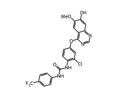 COc1cc2c(Oc3ccc(NC(=O)Nc4ccc(C(F)(F)F)cc4)c(Cl)c3)ncnc2cc1O